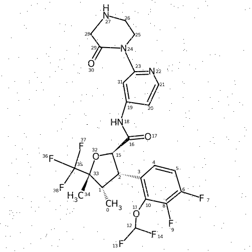 C[C@H]1[C@@H](c2ccc(F)c(F)c2OC(F)F)[C@H](C(=O)Nc2ccnc(N3CCNCC3=O)c2)O[C@@]1(C)C(F)(F)F